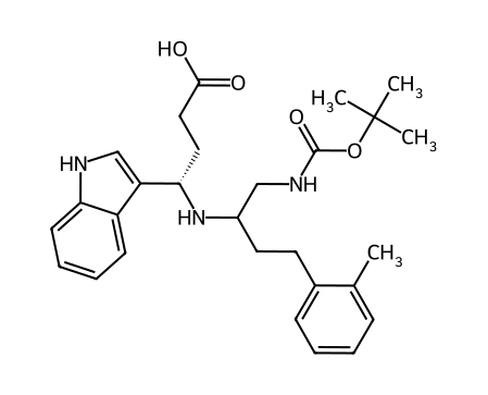 Cc1ccccc1CCC(CNC(=O)OC(C)(C)C)N[C@@H](CCC(=O)O)c1c[nH]c2ccccc12